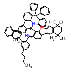 CCCCc1ccc(Cc2ccc3c(oc4cc5c(cc43)C(C)(C)CCC5(C)C)c2B2c3c(N)cc(-c4ccccc4C)cc3-c3cccc4c3N2c2ccccc2C4(c2ccccc2)c2ccccc2)c(-c2ccccc2)c1